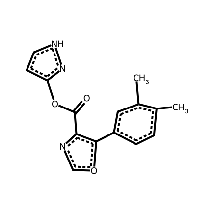 Cc1ccc(-c2ocnc2C(=O)Oc2cc[nH]n2)cc1C